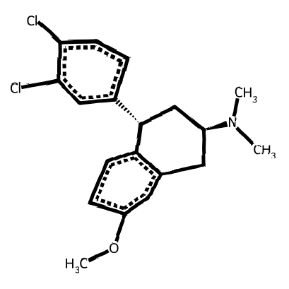 COc1ccc2c(c1)C[C@H](N(C)C)C[C@H]2c1ccc(Cl)c(Cl)c1